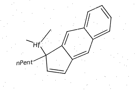 CCCCC[C]1([Hf]([CH3])[CH3])C=Cc2cc3ccccc3cc21